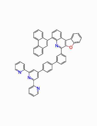 c1ccc(-c2cc(-c3ccc(-c4cccc(-c5nc6c(-c7cc8ccccc8c8ccccc78)cccc6c6c5oc5ccccc56)c4)cc3)cc(-c3ccccn3)n2)nc1